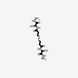 NNC(=O)C(O)NC(=O)CCSSCCC(=O)NC(O)C(=O)NN